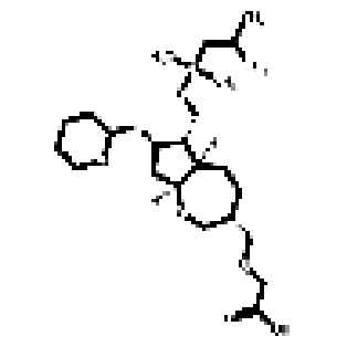 CC(C)C[Si](C)(C)OC[C@@H]1[C@H]2CC[C@H](COCC(=O)O)CO[C@H]2C[C@H]1OC1CCCCO1